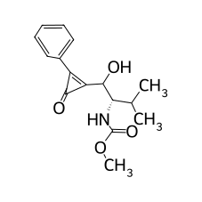 COC(=O)N[C@@H](C(C)C)C(O)c1c(-c2ccccc2)c1=O